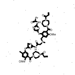 C=CC(=O)N1CCCN(C(=O)c2cc(Sc3cnc(NC(=O)CN(C)Cc4cc(OC)c(C(=O)N5CCCN(C(=O)C=C)CC5)cc4Sc4cnc(NC(=O)C(C)C)s4)s3)c(C)cc2OC)CC1